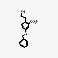 O=C(O)c1cc(OCc2ccccc2)ccc1CCS